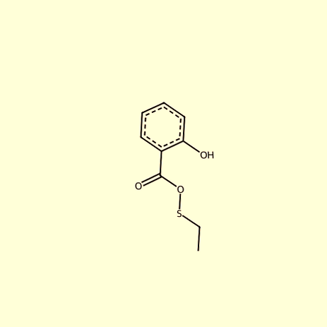 CCSOC(=O)c1ccccc1O